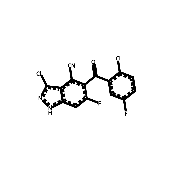 N#Cc1c(C(=O)c2cc(F)ccc2Cl)c(F)cc2[nH]nc(Cl)c12